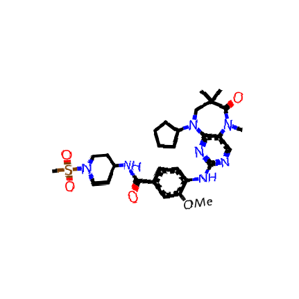 COc1cc(C(=O)NC2CCN(S(C)(=O)=O)CC2)ccc1Nc1ncc2c(n1)N(C1CCCC1)CC(C)(C)C(=O)N2C